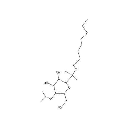 CCCCCCCCOC(C)(C)C1OC(CO)C(OC(C)C)C(O)C1O